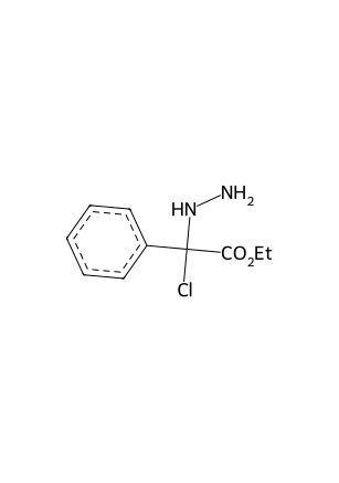 CCOC(=O)C(Cl)(NN)c1ccccc1